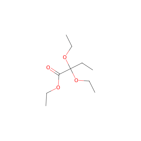 CCOC(=O)C(CC)(OCC)OCC